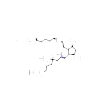 CCCCC(C)(O)C/C=C/C1C(O)CC(=O)C1CC=C=CCCCC(=O)OC